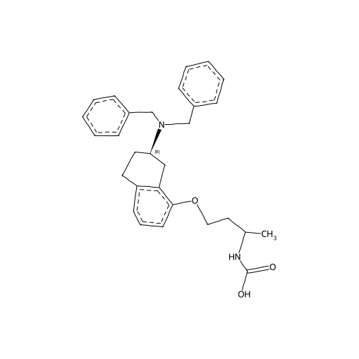 CC(CCOc1cccc2c1C[C@H](N(Cc1ccccc1)Cc1ccccc1)CC2)NC(=O)O